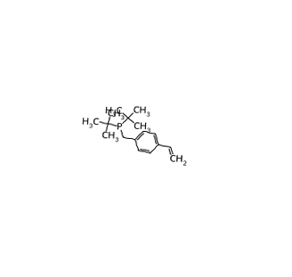 C=Cc1ccc(CP(C(C)(C)C)C(C)(C)C)cc1